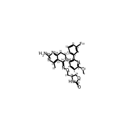 COc1cccc(-c2cc(F)ccc2[C@H]2Cc3nc(N)nc(C)c3/C(=N/OC[C@H]3COC(=O)N3)N2)n1